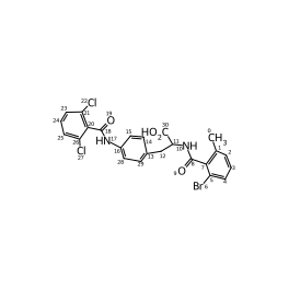 Cc1cccc(Br)c1C(=O)NC(Cc1ccc(NC(=O)c2c(Cl)cccc2Cl)cc1)C(=O)O